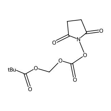 CC(C)(C)C(=O)OCOC(=O)ON1C(=O)CCC1=O